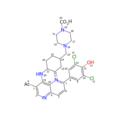 CC(=O)c1cnc2ccc(-c3cc(Cl)c(O)c(Cl)c3)nc2c1NC1CCC(CN2CCN(C(=O)O)CC2)CC1